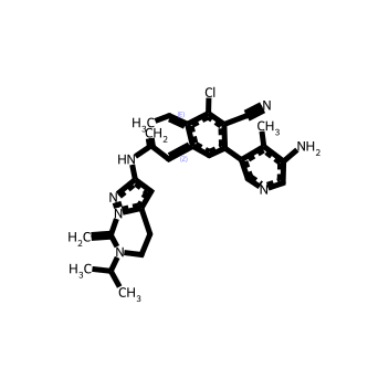 C=C(/C=c1/cc(-c2cncc(N)c2C)c(C#N)c(Cl)/c1=C/C)Nc1cc2n(n1)C(=C)N(C(C)C)CC2